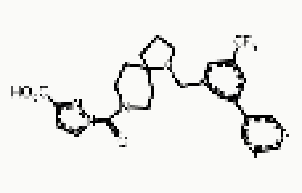 O=C(O)c1ccn(C(=O)N2CCC3(CCCN3Cc3cc(-c4cncnc4)cc(C(F)(F)F)c3)CC2)n1